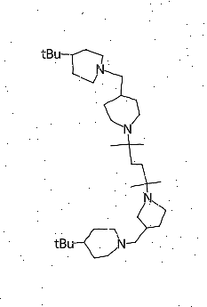 CC(C)(C)C1CCN(CC2CCN(C(C)(C)CCC(C)(C)N3CCC(CN4CCC(C(C)(C)C)CC4)C3)CC2)CC1